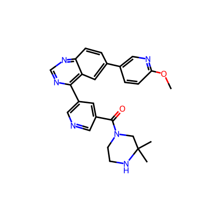 COc1ccc(-c2ccc3ncnc(-c4cncc(C(=O)N5CCNC(C)(C)C5)c4)c3c2)cn1